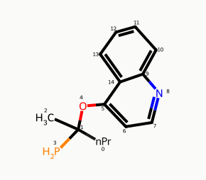 CCCC(C)(P)Oc1ccnc2ccccc12